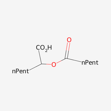 CCCCCC(=O)OC(CCCCC)C(=O)O